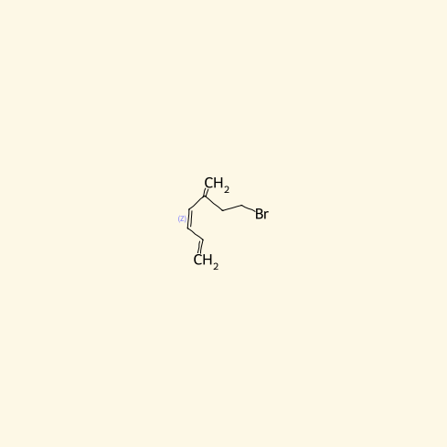 C=C/C=C\C(=C)CCBr